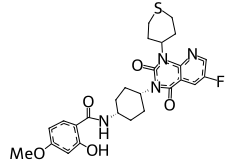 COc1ccc(C(=O)N[C@H]2CC[C@@H](n3c(=O)c4cc(F)cnc4n(C4CCSCC4)c3=O)CC2)c(O)c1